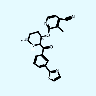 Cc1c(C#N)ccnc1O[C@@H]1CC[C@@H](C)NC1C(=O)c1cccc(-c2nccs2)c1